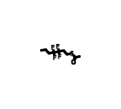 CCCC(F)(F)C(F)(F)CCSC(C)=O